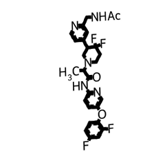 CC(=O)NCc1cc(C2CN(C(C)C(=O)Nc3ccc(Oc4ccc(F)cc4F)cn3)CCC2(F)F)ccn1